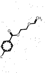 C=COCCOC(=O)c1ccc(C)cc1